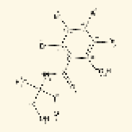 CC(CO)(CO)NC(=O)c1c(Br)c(Br)c(Br)c(Br)c1C(=O)O